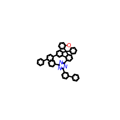 c1ccc(-c2ccc(-c3ccc4c(c3)-c3c(-c5nc(-c6ccccc6)nc(-c6cccc(-c7ccccc7)c6)n5)cccc3C43c4ccccc4Oc4ccccc43)cc2)cc1